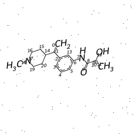 C=C(c1cccc(NC(=O)[C@@H](C)O)c1)C1CCN(C)CC1